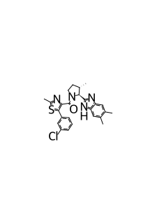 Cc1nc(C(=O)N2CC[C@H](C)[C@H]2c2nc3cc(C)c(C)cc3[nH]2)c(-c2cccc(Cl)c2)s1